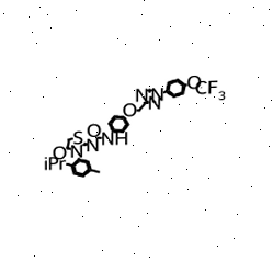 Cc1ccc(C(C)C)c(N2C(=O)CS/C2=N\C(=O)Nc2ccc(OCc3ncn(-c4ccc(OC(F)(F)F)cc4)n3)cc2)c1